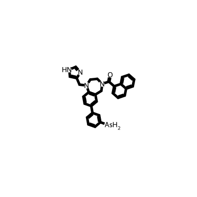 O=C(c1cccc2ccccc12)N1CCN(Cc2c[nH]cn2)c2ccc(-c3cccc([AsH2])c3)cc2C1